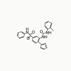 Cc1ccccc1NC(=O)Nc1cc(S(=O)(=O)Nc2ccccc2)ccc1-c1ccsc1